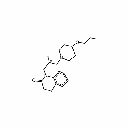 CCCOC1CCN(C[C@@H](C)CN2C(=O)CCc3ccccc32)CC1